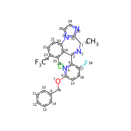 C[C@@H]1N=C(c2nc(OCc3ccccc3)ccc2F)c2c(ccc(C(F)(F)F)c2Cl)-n2ccnc21